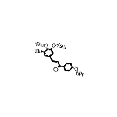 CCCOc1ccc(C(=O)C=Cc2cc(OC(C)(C)C)c(OC(C)(C)C)c(C(C)(C)C)c2)cc1